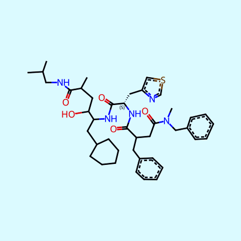 CC(C)CNC(=O)C(C)CC(O)C(CC1CCCCC1)NC(=O)[C@H](Cc1cscn1)NC(=O)C(CC(=O)N(C)Cc1ccccc1)Cc1ccccc1